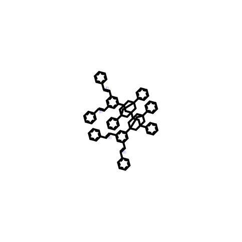 C(=C\c1cc(/C=C/c2ccccc2)cc(C23CC4(c5ccccc5)CC(c5ccccc5)(C2)CC(C25CC6(c7ccccc7)CC(c7ccccc7)(CC(c7cc(/C=C/c8ccccc8)cc(/C=C/c8ccccc8)c7)(C6)C2)C5)(C4)C3)c1)/c1ccccc1